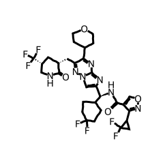 O=C(N[C@H](c1cn2nc(C[C@H]3C[C@@H](C(F)(F)F)CNC3=O)c(C3CCOCC3)nc2n1)C1CCC(F)(F)CC1)c1conc1C1CC1(F)F